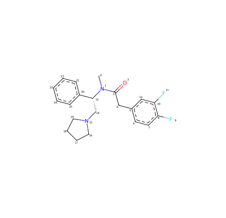 CN(C(=O)Cc1ccc(F)c(F)c1)[C@H](CN1CCCC1)c1ccccc1